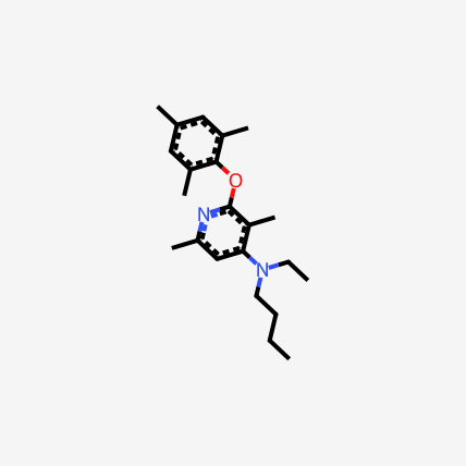 CCCCN(CC)c1cc(C)nc(Oc2c(C)cc(C)cc2C)c1C